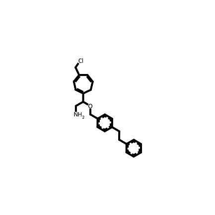 NCC(OCc1ccc(CCc2ccccc2)cc1)C1=CC=C(CCl)C=CC1